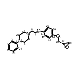 c1ccc(N2CCN(CCOc3ccc(OC[C@H]4CO4)cc3)CC2)cc1